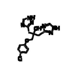 OC(COc1ccc(Cl)cc1)(Cc1nc[nH]n1)Cc1nc[nH]n1